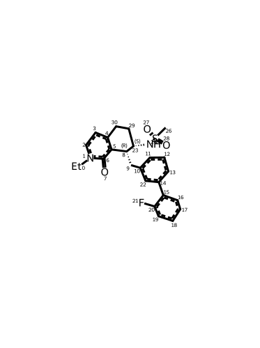 CCn1ccc2c(c1=O)[C@@H](Cc1cccc(-c3ccccc3F)c1)[C@@H](NS(C)(=O)=O)CC2